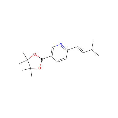 CC(C)/C=C/c1ccc(B2OC(C)(C)C(C)(C)O2)cn1